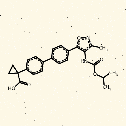 Cc1noc(-c2ccc(-c3ccc(C4(C(=O)O)CC4)cc3)cc2)c1NC(=O)OC(C)C